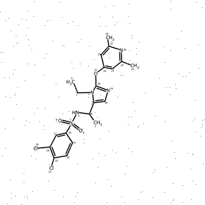 CCn1c(C(C)NS(=O)(=O)c2ccc(Cl)c(Cl)c2)cnc1Oc1cc(C)nc(C)c1